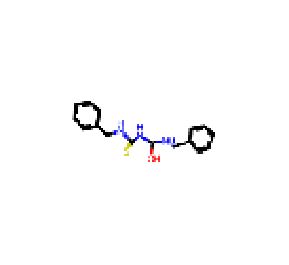 OC(NCc1ccccc1)NC(=S)NCc1ccccc1